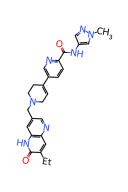 CCc1cc2ncc(CN3CC=C(c4ccc(C(=O)Nc5cnn(C)c5)nc4)CC3)cc2[nH]c1=O